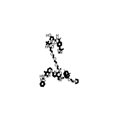 Cc1ncsc1-c1ccc([C@H](C)NC(=O)[C@@H]2C[C@@H](O)CN2C(=O)[C@@H](NC(=O)CCOCCOCCOCCN(C)C(=O)c2nc(N3CCCc4c3nnc(Nc3nc5ccccc5s3)c4C)ccc2-c2cnn(C[C@]34C[C@]5(C)C[C@](C)(C3)C[C@@](OCCN3CCCC3)(C5)C4)c2C)C(C)(C)C)cc1